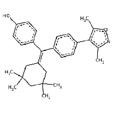 Cc1noc(C)c1-c1ccc(C(=C2CC(C)(C)CC(C)(C)C2)c2ccc(O)cc2)cc1